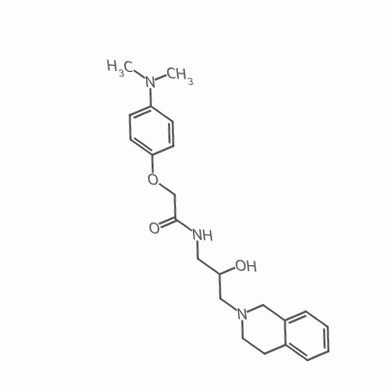 CN(C)c1ccc(OCC(=O)NCC(O)CN2CCc3ccccc3C2)cc1